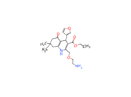 CCOC(=O)C1=C(COCCN)NC2=C(C(=O)CC(C)(C)C2)C1c1ccoc1